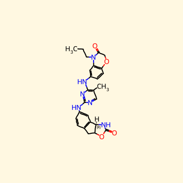 CCCN1C(=O)COc2ccc(Nc3nc(Nc4ccc5c(c4)[C@H]4NC(=O)OC4C5)ncc3C)cc21